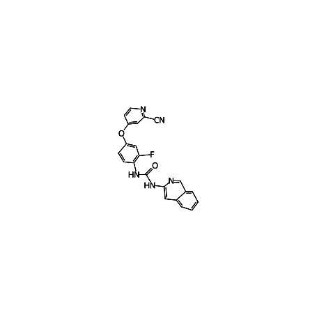 N#Cc1cc(Oc2ccc(NC(=O)Nc3cc4ccccc4cn3)c(F)c2)ccn1